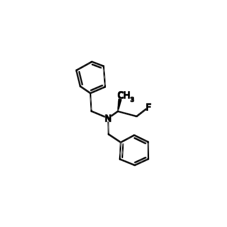 C[C@@H](CF)N(Cc1ccccc1)Cc1ccccc1